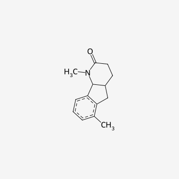 Cc1cccc2c1CC1CCC(=O)N(C)C21